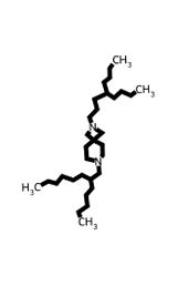 CCCCCCC(CCCCC)CN1CCC2(CC1)CN(CCCC(CCCC)CCCC)C2